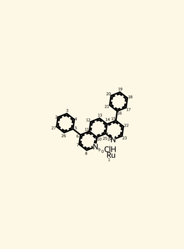 Cl.[Ru].c1ccc(-c2ccnc3c2ccc2c(-c4ccccc4)ccnc23)cc1